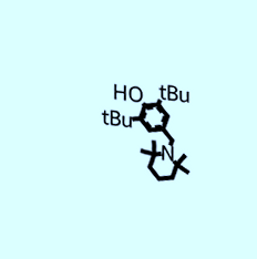 CC(C)(C)c1cc(CN2C(C)(C)CCCC2(C)C)cc(C(C)(C)C)c1O